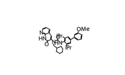 COc1cccc(-c2cc(C(C)C)c(NC(=O)N(CC3CCCCC3)c3cc4cccnc4[nH]c3=O)c(C(C)C)c2)c1